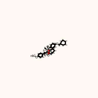 CCCCOc1ccc(C(F)(F)C(C(=O)N2C3CCC2CC(N)C3)N(C)S(=O)(=O)c2ccc(OCC3CCCCC3)cc2)cc1